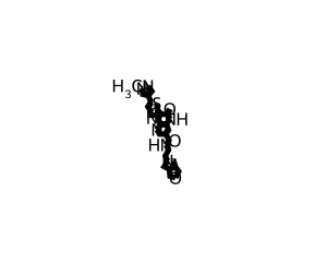 Cn1cc(-c2cn3nc4c5ncc(C(=O)NCCN6CC7COCC7C6)cc5[nH]c(=O)c4c3s2)cn1